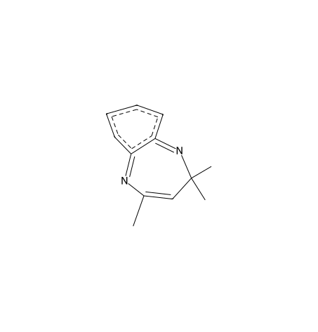 CC1=CC(C)(C)N=c2ccccc2=N1